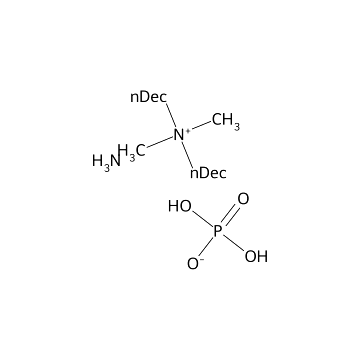 CCCCCCCCCC[N+](C)(C)CCCCCCCCCC.N.O=P([O-])(O)O